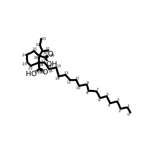 CCCCCCCCCCCCCCCCCCC1(C(=O)O)CCCCC1(C(=O)O)C(C)CC